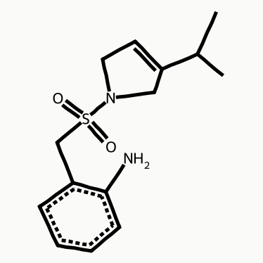 CC(C)C1=CCN(S(=O)(=O)Cc2ccccc2N)C1